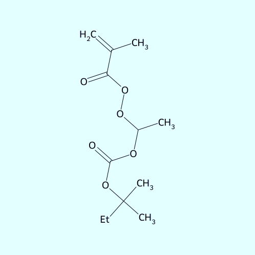 C=C(C)C(=O)OOC(C)OC(=O)OC(C)(C)CC